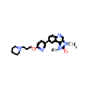 CC(C)n1c(=O)n(C)c2cnc3ccc(-c4ccc(OCCCN5CCCCC5)nc4)cc3c21